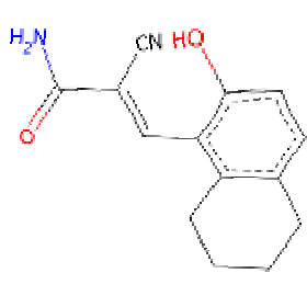 N#CC(=Cc1c(O)ccc2c1CCCC2)C(N)=O